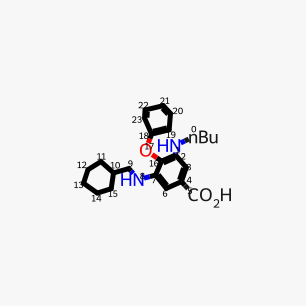 CCCCNc1cc(C(=O)O)cc(NCC2CCCCC2)c1Oc1ccccc1